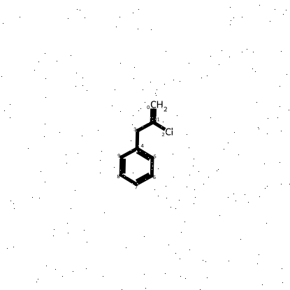 C=C(Cl)Cc1ccccc1